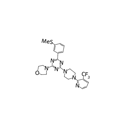 CSc1cccc(-c2nc(N3CCOCC3)nc(N3CCN(c4ncccc4C(F)(F)F)CC3)n2)c1